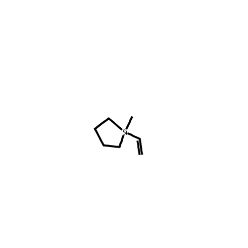 C=C[Si]1(C)CCCC1